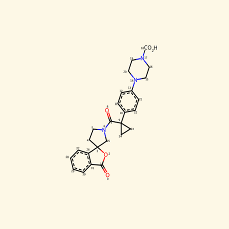 O=C1OC2(CCN(C(=O)C3(c4ccc(N5CCN(C(=O)O)CC5)cc4)CC3)C2)c2ccccc21